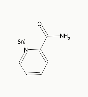 NC(=O)c1ccccn1.[Sn]